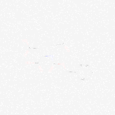 CC(=O)Br.O=C(O)C[C@H](NC(=O)OCc1ccccc1)C(=O)O